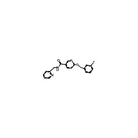 O=C(NCc1ccccn1)c1ccc(OCc2cccc(F)c2)nc1